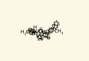 CC(CC1CCCCC1)C(=O)N1CCC(O)(Cn2cc(-c3cccc(CNC(=O)OC(C)(C)C)c3)c(-c3ccccc3F)cc2=O)CC1